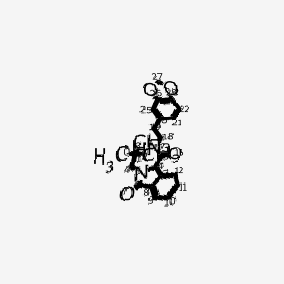 CC(C)(C)CN1C(=O)c2ccccc2C1C(=O)NCCc1ccc2c(c1)OCO2